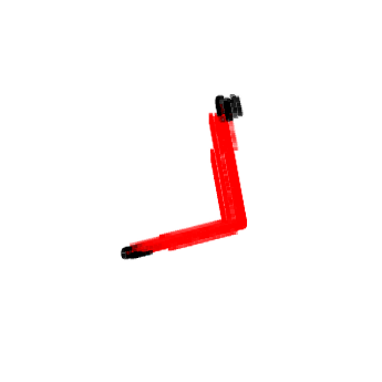 O.O.O.O.O.O.O.O.O.O.O.O.O.O.O.O.O.O.O.O.O.O.O.O.O.O.O.O.O.O.O.O.O.O.O.O.O.O.O.O.O.O.O.O.O.O.O.O.O.O.O.O.O.O.O.O.O.O.[Ca+2].[Ca+2].[Ca+2].[Ca+2].[Ca+2].[Ca+2].[Ca+2].[Ca+2].[Ca+2].[Ca+2].[Ca+2].[Ca+2].[Ca+2].[Ca+2].[Ca+2].[OH-].[OH-].[OH-].[OH-].[OH-].[OH-].[OH-].[OH-].[OH-].[OH-].[OH-].[OH-].[OH-].[OH-].[OH-].[OH-].[OH-].[OH-].[OH-].[OH-].[OH-].[OH-].[OH-].[OH-].[OH-].[OH-].[OH-].[OH-].[OH-].[OH-]